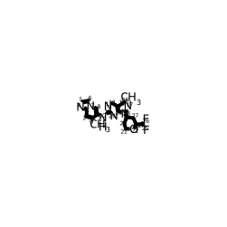 Cc1cc2nccn2cc1Nc1ncc2c(C)nn(C3CCOC(C(F)F)C3)c2n1